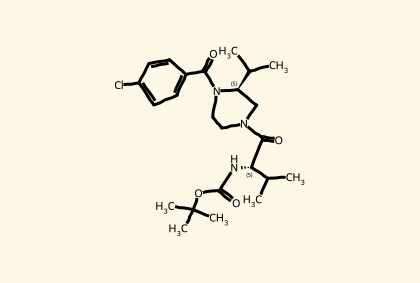 CC(C)[C@H](NC(=O)OC(C)(C)C)C(=O)N1CCN(C(=O)c2ccc(Cl)cc2)[C@@H](C(C)C)C1